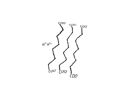 O=C([O-])CCCCCCC(=O)[O-].O=C([O-])CCCCCCC(=O)[O-].O=C([O-])CCCCCCC(=O)[O-].[Al+3].[Al+3]